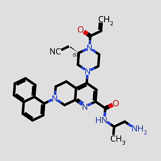 C=CC(=O)N1CCN(c2cc(C(=O)NC(C)CN)nc3c2CCN(c2cccc4ccccc24)C3)C[C@@H]1CC#N